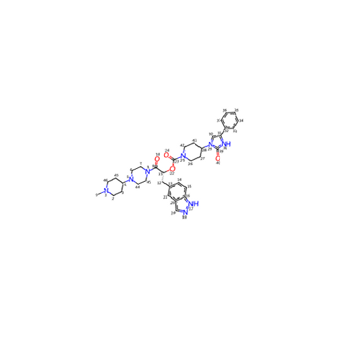 CN1CCC(N2CCN(C(=O)[C@@H](Cc3ccc4[nH]ncc4c3)OC(=O)N3CCC(n4cc(-c5ccccc5)[nH]c4=O)CC3)CC2)CC1